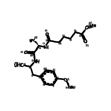 CCCCOc1ccc(CC(C=O)NC(=O)[C@@H](NC(=O)CCCCC(=O)OC)C(C)C)cc1